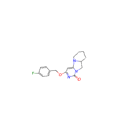 O=c1nc(OCc2ccc(F)cc2)cc2n1CC1CCCCN21